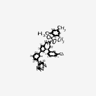 Cc1cc(C)c(S(=O)(=O)N(CCc2cccc(Cl)c2)Cc2ccc(-c3cccc(-n4cnnn4)c3)cc2)c(C)c1